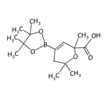 CC1(C)CC(B2OC(C)(C)C(C)(C)O2)=CC(C)(C(=O)O)O1